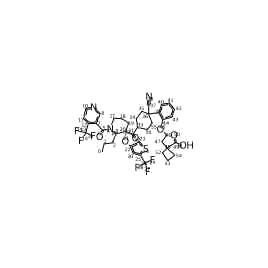 CCC[C@H]1N(C(=O)c2cnccc2C(F)(F)F)CCC[C@@]1(Oc1csc(C(F)(F)F)c1)C(=O)C1CCC(C#N)(c2ccccc2OCCC2(C(=O)O)CCC2)CC1